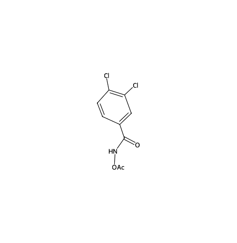 CC(=O)ONC(=O)c1ccc(Cl)c(Cl)c1